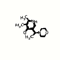 Cc1[nH]cc(C(C)N2CCOCC2)c(=O)c1C